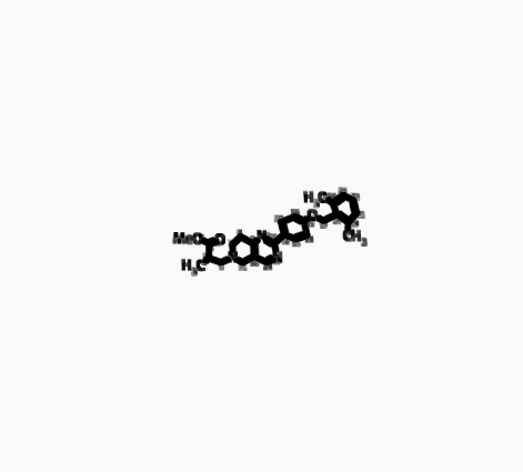 COC(=O)C(C)CN1CCc2nc(-c3ccc(OCc4c(C)cccc4C)cc3)ncc2C1